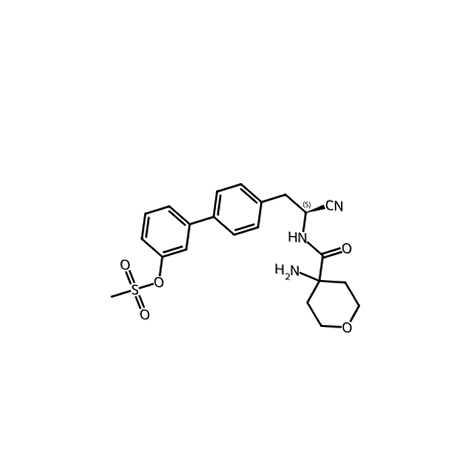 CS(=O)(=O)Oc1cccc(-c2ccc(C[C@@H](C#N)NC(=O)C3(N)CCOCC3)cc2)c1